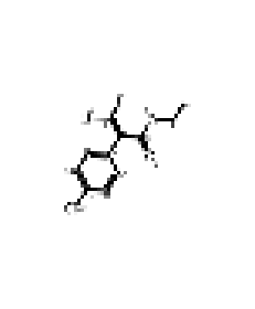 CCOC(=O)C(=C(F)Cl)c1ccc(Cl)cc1